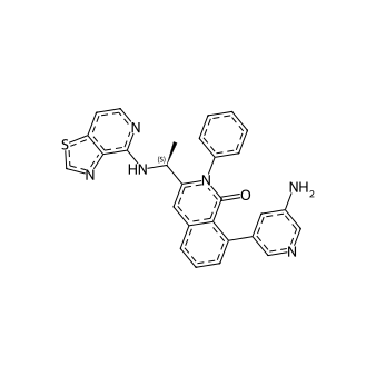 C[C@H](Nc1nccc2scnc12)c1cc2cccc(-c3cncc(N)c3)c2c(=O)n1-c1ccccc1